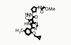 COCC(=O)N[C@@H]1CC[C@H](NC(=O)c2c(C)[nH]c3c(-c4cc(C)ccc4OCC4CC4)ncnc23)C1